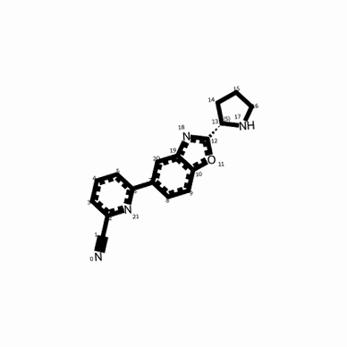 N#Cc1cccc(-c2ccc3oc([C@@H]4CCCN4)nc3c2)n1